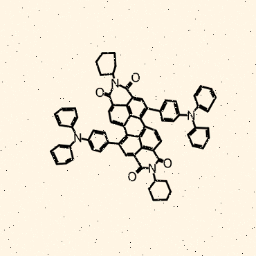 O=C1c2ccc3c4c(-c5ccc(N(c6ccccc6)c6ccccc6)cc5)cc5c6c(ccc(c7c(-c8ccc(N(c9ccccc9)c9ccccc9)cc8)cc(c2c37)C(=O)N1C1CCCCC1)c64)C(=O)N(C1CCCCC1)C5=O